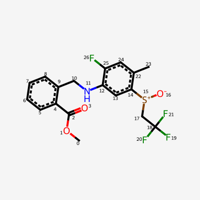 COC(=O)c1ccccc1CNc1cc([S+]([O-])CC(F)(F)F)c(C)cc1F